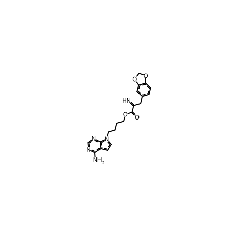 N=C(Cc1ccc2c(c1)OCO2)C(=O)OCCCCn1ccc2c(N)ncnc21